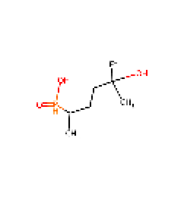 CCC(C)(O)CCC(C)[PH](=O)O